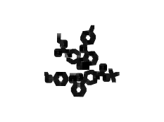 CCOC(=O)N1CCC(O)(c2ccccc2Oc2ccc(C)cc2)CC1.COc1ccc(Oc2ccccc2C2(O)CCN(C(=O)OC(C)(C)C)CC2)cc1